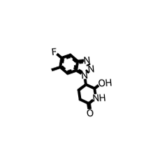 Cc1cc2c(cc1F)nnn2C1CCC(=O)NC1O